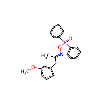 COc1cccc(CC(C)=NOP(=O)(c2ccccc2)c2ccccc2)c1